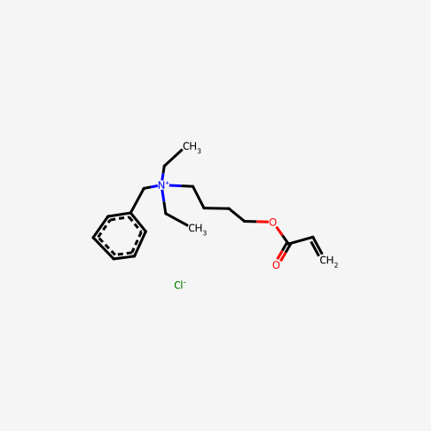 C=CC(=O)OCCCC[N+](CC)(CC)Cc1ccccc1.[Cl-]